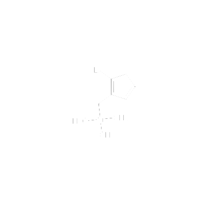 [Li][C]1=C(C[Si](C)(C)C)C=CC1